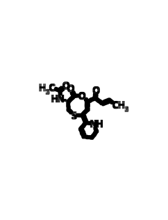 C/C=C/C(=O)/C1=C/C(=C2/C=CCCN2)SC[C@H](NC(C)=O)C(=O)O1